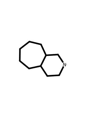 C1CCC2CC[N]CC2CC1